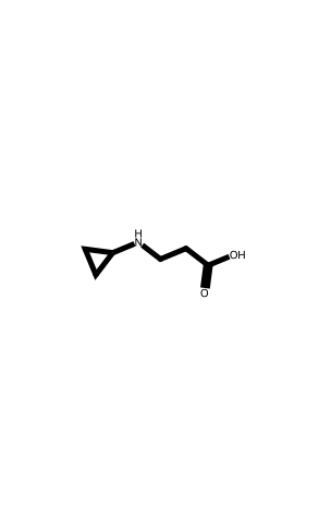 O=C(O)CCNC1CC1